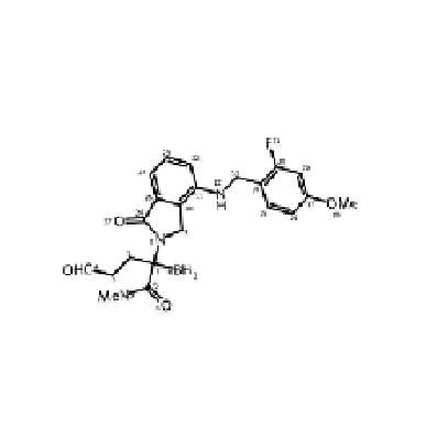 BC(CCC=O)(C(=O)NC)N1Cc2c(NCc3ccc(OC)cc3F)cccc2C1=O